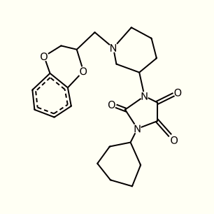 O=C1C(=O)N(C2CCCN(CC3COc4ccccc4O3)C2)C(=O)N1C1CCCCC1